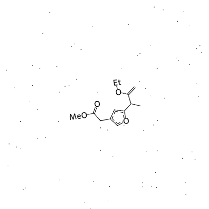 C=C(OCC)C(C)c1cc(CC(=O)OC)co1